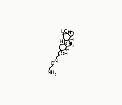 C[C@@]12CCC[C@H]1[C@@H]1CC[C@@H]3C[C@](O)(C=CC=NOCCN)CC[C@]3(C)[C@H]1CC2